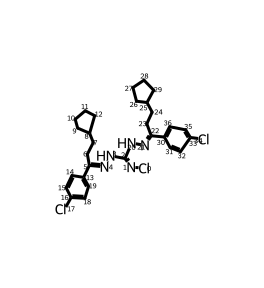 ClN=C(N/N=C(\CCC1CCCC1)c1ccc(Cl)cc1)N/N=C(\CCC1CCCC1)c1ccc(Cl)cc1